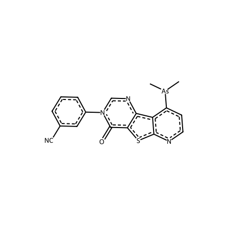 C[As](C)c1ccnc2sc3c(=O)n(-c4cccc(C#N)c4)cnc3c12